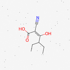 CCC(CC)/C(O)=C(/C#N)C(=O)O